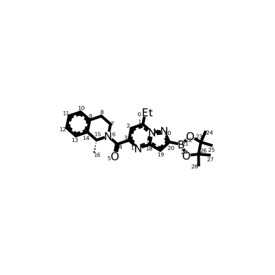 CCc1cc(C(=O)N2CCc3ccccc3[C@H]2C)nc2cc(B3OC(C)(C)C(C)(C)O3)nn12